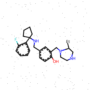 CCC1CNCCN1Cc1cc(CNC2(c3ccccc3F)CCCC2)ccc1O